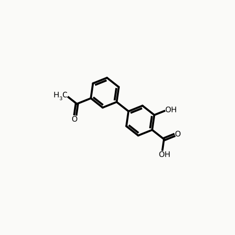 CC(=O)c1cccc(-c2ccc(C(=O)O)c(O)c2)c1